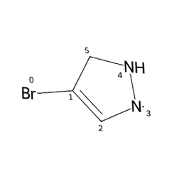 BrC1=C[N]NC1